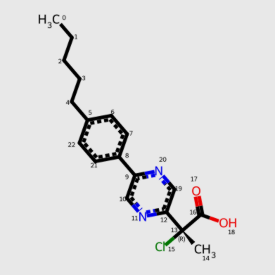 CCCCCc1ccc(-c2cnc([C@@](C)(Cl)C(=O)O)cn2)cc1